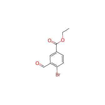 CCOC(=O)c1ccc(Br)c(C=O)c1